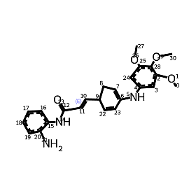 COc1cc(NC2=CCC(/C=C/C(=O)Nc3ccccc3N)C=C2)cc(OC)c1OC